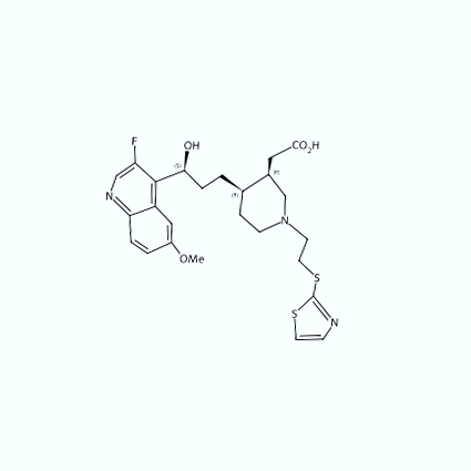 COc1ccc2ncc(F)c([C@@H](O)CC[C@@H]3CCN(CCSc4nccs4)C[C@@H]3CC(=O)O)c2c1